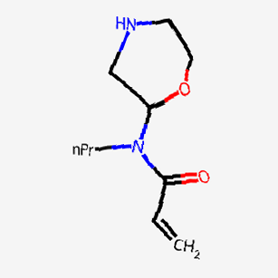 C=CC(=O)N(CCC)C1CNCCO1